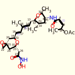 CC(=O)O[C@@H](C)/C=C\C(=O)N[C@@H]1C[C@H](C)[C@H](C/C=C(C)/C=C/[C@@H]2C[C@@]3(CO3)C[C@@H](CC(=O)NO)O2)O[C@@H]1C